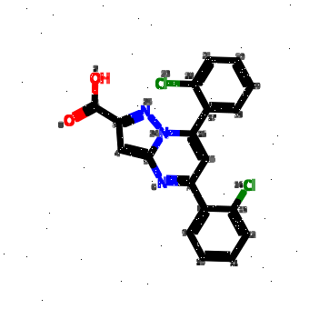 O=C(O)c1cc2nc(-c3ccccc3Cl)cc(-c3ccccc3Cl)n2n1